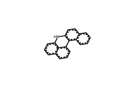 c1ccc2c3c(ccc2c1)Nc1cccc2cccc-3c12